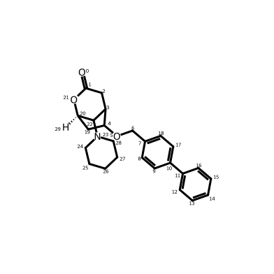 O=C1CC2C(OCc3ccc(-c4ccccc4)cc3)C[C@@H](O1)C2N1CCCCC1